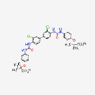 CC(C)(Oc1ccc(NC(=O)Nc2ccc(-c3ccc(NC(=O)Nc4ccc(OC(C)(C)C(=O)O)cc4)c(Cl)c3)cc2Cl)cc1)C(=O)O